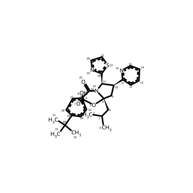 CC(C)C[C@]1(OC(=O)O)C[C@H](c2ccccn2)[C@H](c2nccs2)N1C(=O)c1ccc(C(C)(C)C)cc1